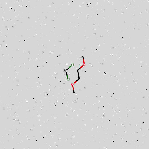 COCCOC.[Cl][Zr][Cl]